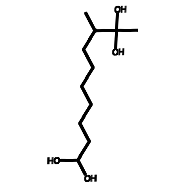 CC(CCCCCCC(O)O)C(C)(O)O